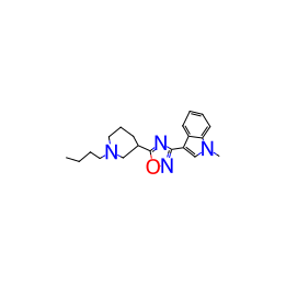 CCCCN1CCCC(c2nc(-c3cn(C)c4ccccc34)no2)C1